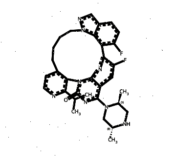 CC(C)c1nccc2c1-n1c(=O)nc(N3C[C@@H](C)NC[C@@H]3C)c3cc(F)c(nc31)-c1c(F)ccc3cnn(c13)CCCC2